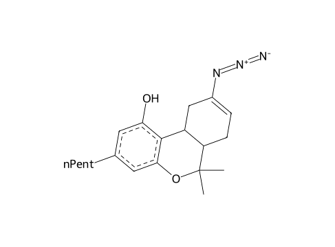 CCCCCc1cc(O)c2c(c1)OC(C)(C)C1CC=C(N=[N+]=[N-])CC21